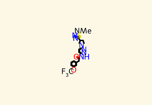 CNc1nnc(C2CCN(c3ccc(NC(=O)Cc4cccc(OC(F)(F)F)c4)nn3)C2)s1